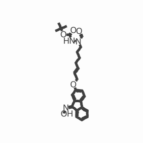 CC(C)(C)OC(=O)NN(C=O)CCCC/C=C/COc1ccc2c(c1)/C(=N/O)c1ccccc1-2